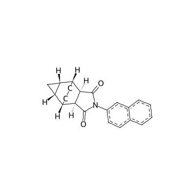 O=C1[C@@H]2[C@@H]3CC[C@@H]([C@@H]4C[C@@H]43)[C@@H]2C(=O)N1c1ccc2ccccc2c1